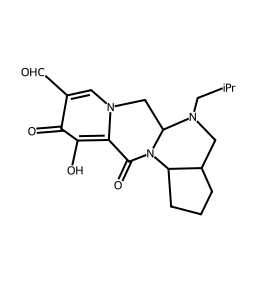 CC(C)CN1CC2CCCC2N2C(=O)c3c(O)c(=O)c(C=O)cn3CC12